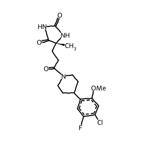 COc1cc(Cl)c(F)cc1C1CCN(C(=O)CC[C@@]2(C)NC(=O)NC2=O)CC1